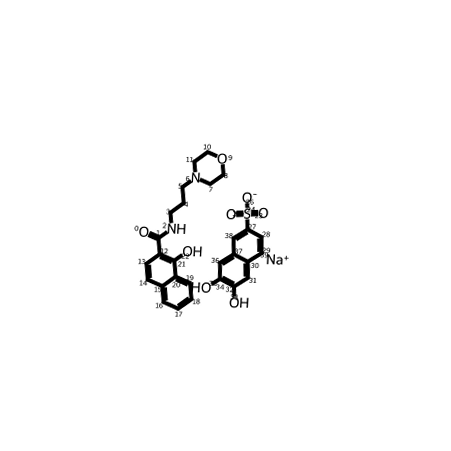 O=C(NCCCN1CCOCC1)c1ccc2ccccc2c1O.O=S(=O)([O-])c1ccc2cc(O)c(O)cc2c1.[Na+]